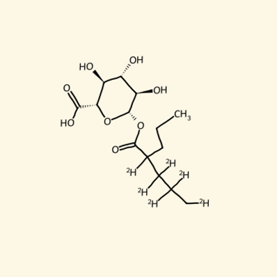 [2H]CC([2H])([2H])C([2H])([2H])C([2H])(CCC)C(=O)O[C@@H]1O[C@H](C(=O)O)[C@@H](O)[C@H](O)[C@H]1O